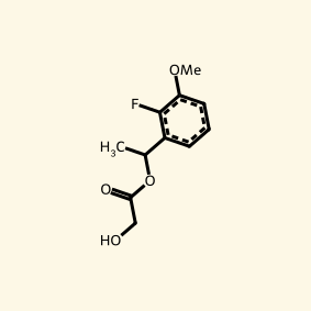 COc1cccc(C(C)OC(=O)CO)c1F